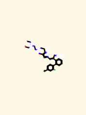 C=Cc1ccc(-c2cccc3c2/C(=C/c2[nH]c4c(c2C)C(=O)N(CCN2CCOCC2)CC4)C(=O)N3)c(F)c1